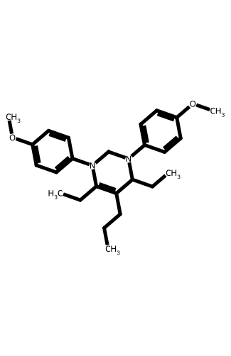 CCCC1=C(CC)N(c2ccc(OC)cc2)[CH]N(c2ccc(OC)cc2)C1CC